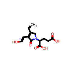 C=CC1=C(/C=C/O)C(=O)N(C(CCC(=O)O)C(=O)O)C1